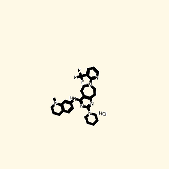 CN1CCCc2ccc(Nc3nc(N4CCCCC4)nc4c3CCN(c3ncccc3C(F)(F)F)CC4)cc21.Cl